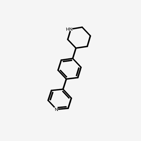 c1cc(-c2ccc(C3CCCNC3)cc2)ccn1